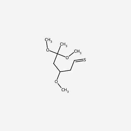 COC(CC=S)CC(C)(OC)OC